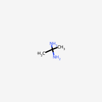 [CH2]C(C)(N)N